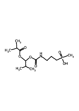 CC(C)C(=O)OC(OC(=O)NCCCP(C)(=O)O)C(C)C